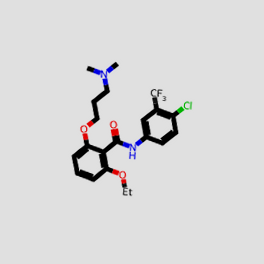 CCOc1cccc(OCCCN(C)C)c1C(=O)Nc1ccc(Cl)c(C(F)(F)F)c1